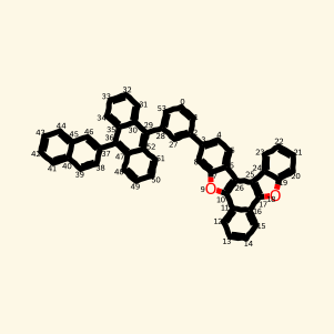 c1cc(-c2ccc3c(c2)oc2c4ccccc4c4oc5ccccc5c4c32)cc(-c2c3ccccc3c(-c3ccc4ccccc4c3)c3ccccc23)c1